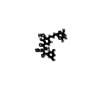 Cc1cc(C)cc(C(=O)N(NC(=O)c2ccc(CCCB3OC(C)(C)C(C)(C)O3)c(O)c2C)C(C)(C)C)c1